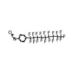 O=C=Nc1ccc(C(F)(F)C(F)(F)C(F)(F)C(F)(F)C(F)(F)C(F)(F)C(F)(F)C(F)(F)C(F)(F)F)cc1